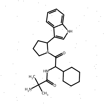 CC(C)(N)C(=O)NC(C(=O)N1CCCC1c1c[nH]c2ccccc12)C1CCCCC1